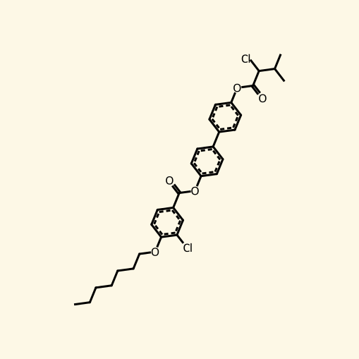 CCCCCCCOc1ccc(C(=O)Oc2ccc(-c3ccc(OC(=O)C(Cl)C(C)C)cc3)cc2)cc1Cl